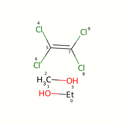 CCO.CO.ClC(Cl)=C(Cl)Cl